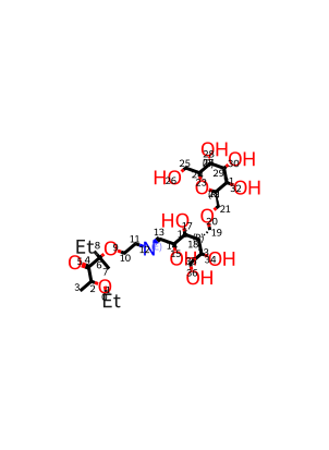 CCOC(C)C(=O)C(C)(CC)OCC/N=C/C(O)C(O)[C@H](COC[C@H]1OC(CO)[C@H](O)C(O)C1O)C(O)CO